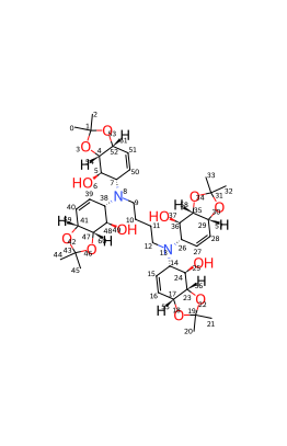 CC1(C)O[C@H]2[C@H](O)[C@@H](N(CCCCN([C@H]3C=C[C@H]4OC(C)(C)O[C@H]4[C@@H]3O)[C@H]3C=C[C@H]4OC(C)(C)O[C@H]4[C@@H]3O)[C@H]3C=C[C@H]4OC(C)(C)O[C@H]4[C@@H]3O)C=C[C@H]2O1